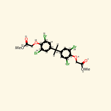 COC(=O)COc1c(Br)cc(C(C)(C)c2cc(Br)c(OCC(=O)OC)c(Br)c2)cc1Br